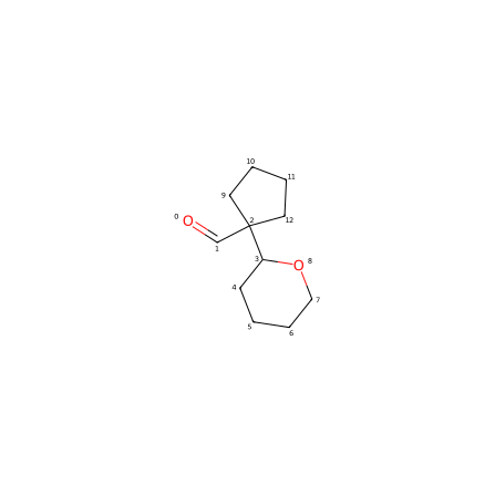 O=CC1(C2CCCCO2)CCCC1